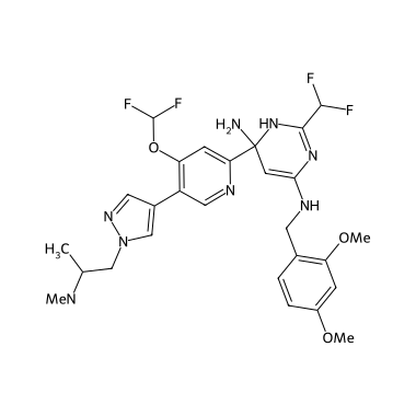 CNC(C)Cn1cc(-c2cnc(C3(N)C=C(NCc4ccc(OC)cc4OC)N=C(C(F)F)N3)cc2OC(F)F)cn1